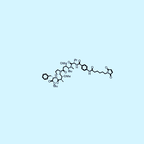 CC[C@H](C)[C@@H]([C@@H](CC(=O)N1CCC[C@H]1[C@H](OC)[C@@H](C)C(=O)N[C@@H](Cc1ccccc1)C(=O)OC(C)(C)C)OC)N(C)C(=O)[C@@H](NC(=O)c1ccc(NC(=O)CCCCCN2C(=O)C=CC2=O)cc1)C(C)C